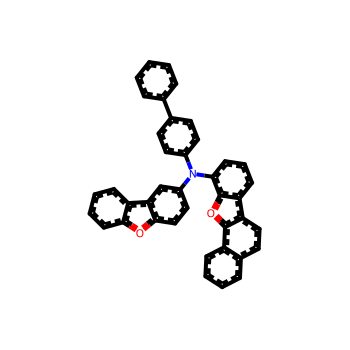 c1ccc(-c2ccc(N(c3ccc4oc5ccccc5c4c3)c3cccc4c3oc3c5ccccc5ccc43)cc2)cc1